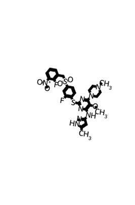 COc1c(Nc2cc(C)[nH]n2)nc(Sc2ccc(S(=O)(=O)Cc3cccc([N+](=O)[O-])c3F)cc2F)nc1N1CCN(C)CC1